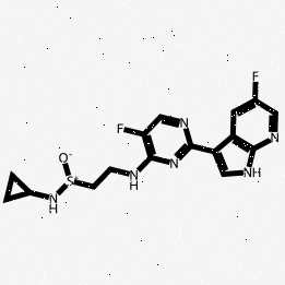 [O-][S+](CCNc1nc(-c2c[nH]c3ncc(F)cc23)ncc1F)NC1CC1